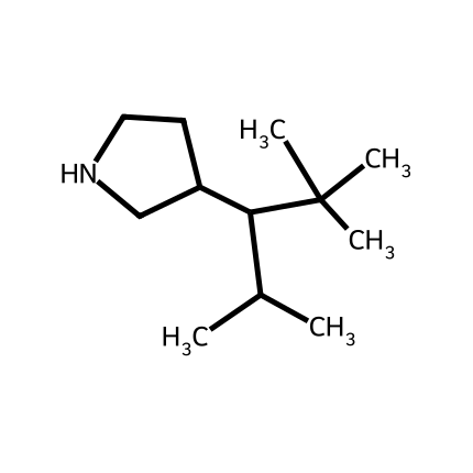 CC(C)C(C1CCNC1)C(C)(C)C